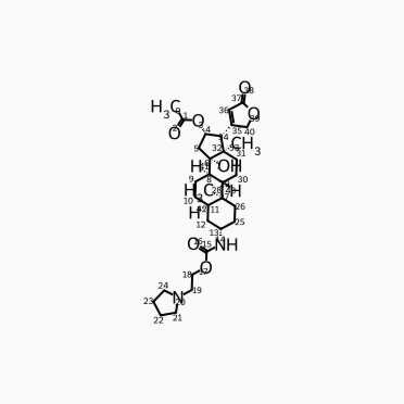 CC(=O)O[C@H]1C[C@]2(O)[C@@H]3CC[C@@H]4C[C@@H](NC(=O)OCCN5CCCC5)CC[C@]4(C)[C@H]3CC[C@]2(C)[C@H]1C1=CC(=O)OC1